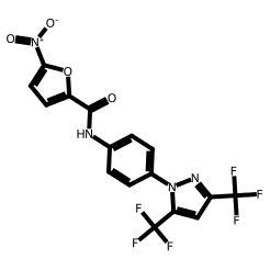 O=C(Nc1ccc(-n2nc(C(F)(F)F)cc2C(F)(F)F)cc1)c1ccc([N+](=O)[O-])o1